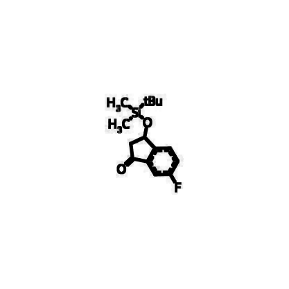 CC(C)(C)[Si](C)(C)OC1CC(=O)c2cc(F)ccc21